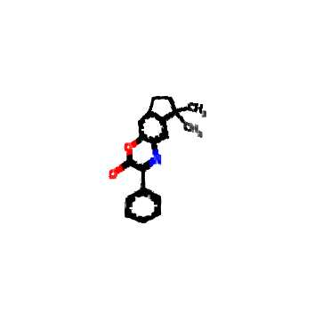 CC1(C)CCc2cc3oc(=O)c(-c4ccccc4)nc3cc21